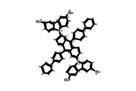 CC(C)(C)c1ccc2c(c1)c1cc(C(C)(C)C)ccc1n2-c1ccc2c(-c3ccc(-c4ccccc4)cc3)c3cc(-n4c5ccc(C(C)(C)C)cc5c5cc(C(C)(C)C)ccc54)ccc3c(-c3ccc(-c4ccccc4)cc3)c2c1